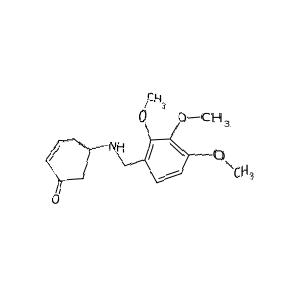 COc1ccc(CNC2CC=CC(=O)C2)c(OC)c1OC